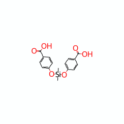 C[Si](C)(Oc1ccc(C(=O)O)cc1)Oc1ccc(C(=O)O)cc1